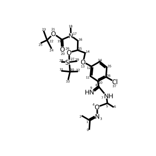 CC(C)=NOC(C)NC(=N)c1cc(OCC(CN(C)C(=O)OC(C)(C)C)O[Si](C)(C)C(C)(C)C)ccc1Cl